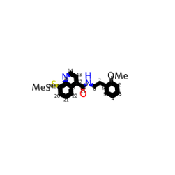 COc1ccccc1CCNC(=O)c1ccnc2c(SSC)cccc12